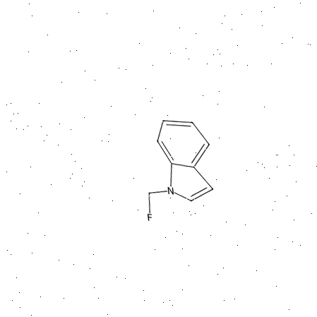 FCn1ccc2ccccc21